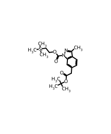 Cc1nn(C(=O)OCC[Si](C)(C)C)c2cc(CC(=O)OC(C)(C)C)ccc12